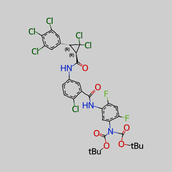 CC(C)(C)OC(=O)N(C(=O)OC(C)(C)C)c1cc(NC(=O)c2cc(NC(=O)[C@H]3[C@H](c4cc(Cl)c(Cl)c(Cl)c4)C3(Cl)Cl)ccc2Cl)c(F)cc1F